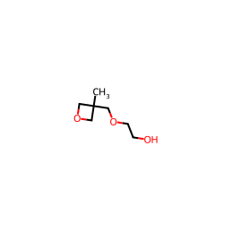 CC1(COCCO)COC1